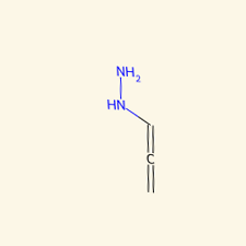 C=C=CNN